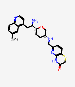 COc1ccc2nccc(CC(N)[C@@H]3CC[C@@H](NCc4ccc5c(n4)NC(=O)CS5)CO3)c2c1